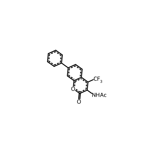 CC(=O)Nc1c(C(F)(F)F)c2ccc(-c3ccccc3)cc2oc1=O